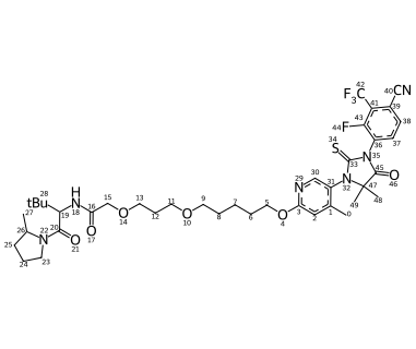 Cc1cc(OCCCCCOCCCOCC(=O)NC(C(=O)N2CCCC2C)C(C)(C)C)ncc1N1C(=S)N(c2ccc(C#N)c(C(F)(F)F)c2F)C(=O)C1(C)C